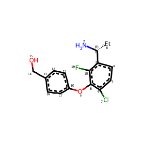 CC[C@@H](N)c1ccc(Cl)c(Oc2ccc(CO)cc2)c1F